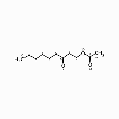 CCCCCCC(=O)CCOC(C)=O